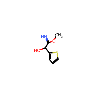 COC(=N)C(O)c1cccs1